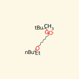 CCCCC(CC)COCCCCCCCCC([O])OCC(C)CC(C)(C)C